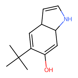 CC(C)(C)C1=CC2C=CNC2C=C1O